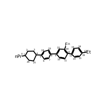 CCCC1CCC(c2ccc(-c3ccc(-c4ccc(CC)cc4)c(F)c3)cc2)CC1